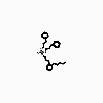 CCCCCc1ccccc1CCCOP(=O)(OCCCc1ccccc1)OCCCc1ccccc1